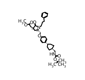 COC(=O)C[C@@H]1C[C@@H](COc2ccc([C@H]3CC[C@H](CNC(=O)OC(C)(C)C)CC3)cc2)N(CCCc2ccccc2)C1=O